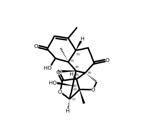 CC1=CC(=O)C(O)[C@@]2(C)[C@H]1CC(=O)[C@@]13CO[C@]4(C)[C@@H](OC(=O)[C@@H]41)[C@H](O)[C@@H]32